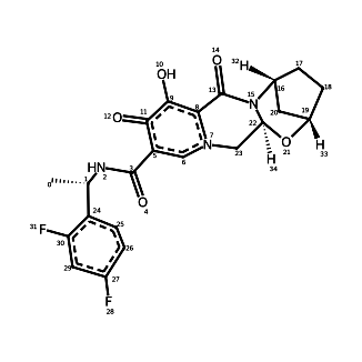 C[C@H](NC(=O)c1cn2c(c(O)c1=O)C(=O)N1[C@@H]3CC[C@@H](C3)O[C@H]1C2)c1ccc(F)cc1F